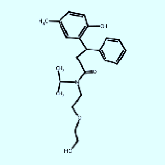 Cc1ccc(O)c(C(CC(=O)N(CCOCCO)C(C)C)c2ccccc2)c1